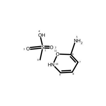 CS(=O)(=O)O.NC1=CC=CNO1